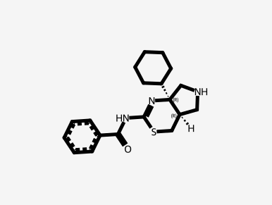 O=C(NC1=N[C@@]2(C3CCCCC3)CNC[C@H]2CS1)c1ccccc1